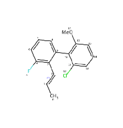 C/C=C/c1c(F)cccc1-c1c(Cl)cccc1OC